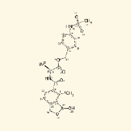 Cc1c(C(=O)N[C@H](C(=O)OCc2ccc(NS(C)(=O)=O)cc2)C(C)C)ccc2c1B(O)OC2